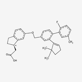 Cc1ccc(F)c(-c2ccc(COc3ccc4c(c3)[C@@H](CC(=O)O)CC4)cc2C2=CCCC2(C)C)c1